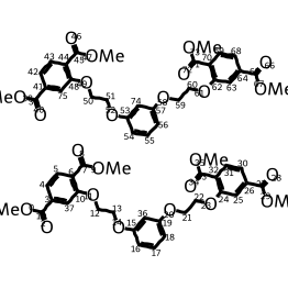 COC(=O)c1ccc(C(=O)OC)c(OCCOc2cccc(OCCOc3cc(C(=O)OC)ccc3C(=O)OC)c2)c1.COC(=O)c1ccc(C(=O)OC)c(OCCOc2cccc(OCCOc3cc(C(=O)OC)ccc3C(=O)OC)c2)c1